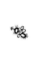 O=c1oc2c(c(=O)n1-c1ccc(F)cc1)CCCC2